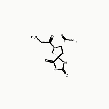 NCC(=O)N1C[C@]2(C[C@H]1C(N)=O)NC(=O)NC2=O